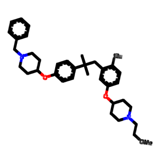 COCCN1CCC(Oc2ccc(C(C)(C)C)c(CC(C)(C)c3ccc(OC4CCN(Cc5ccccc5)CC4)cc3)c2)CC1